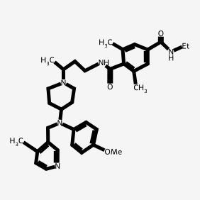 CCNC(=O)c1cc(C)c(C(=O)NCCC(C)N2CCC(N(Cc3cnccc3C)c3ccc(OC)cc3)CC2)c(C)c1